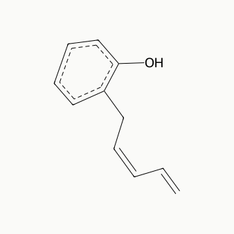 C=C/C=C\Cc1ccccc1O